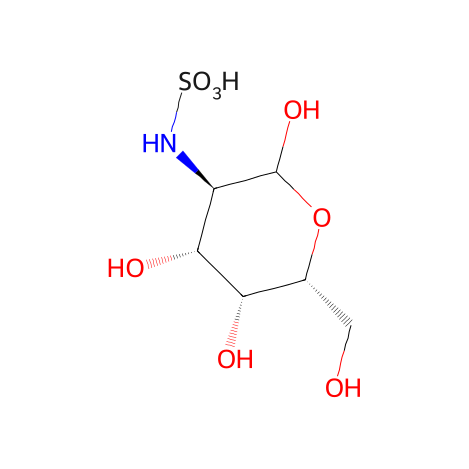 O=S(=O)(O)N[C@H]1C(O)O[C@H](CO)[C@H](O)[C@@H]1O